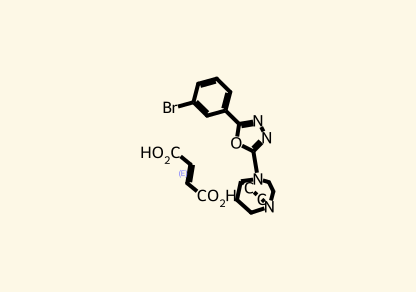 Brc1cccc(-c2nnc(N3CCN4CCC3CC4)o2)c1.O=C(O)/C=C/C(=O)O